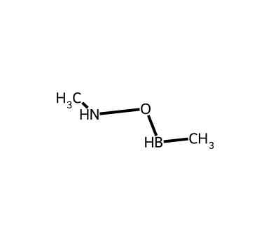 CBONC